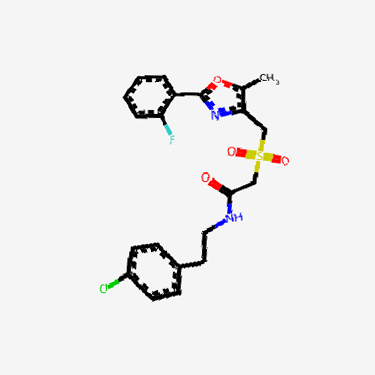 Cc1oc(-c2ccccc2F)nc1CS(=O)(=O)CC(=O)NCCc1ccc(Cl)cc1